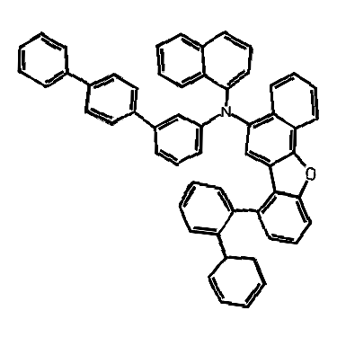 C1=CCC(c2ccccc2-c2cccc3oc4c5ccccc5c(N(c5cccc(-c6ccc(-c7ccccc7)cc6)c5)c5cccc6ccccc56)cc4c23)C=C1